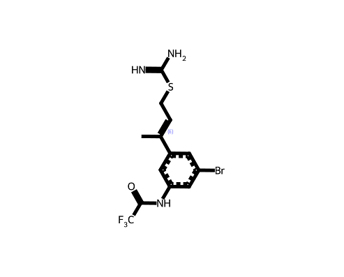 C/C(=C\CSC(=N)N)c1cc(Br)cc(NC(=O)C(F)(F)F)c1